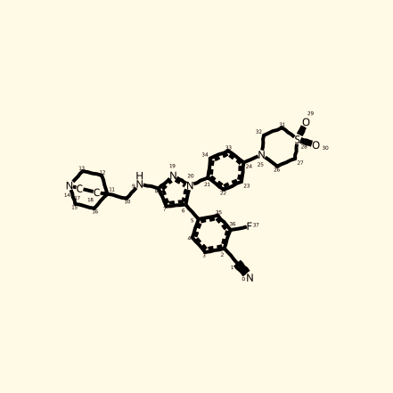 N#Cc1ccc(-c2cc(NCC34CCN(CC3)CC4)nn2-c2ccc(N3CCS(=O)(=O)CC3)cc2)cc1F